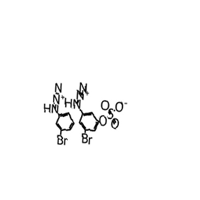 N#[N+]Nc1cccc(Br)c1.N#[N+]Nc1cccc(Br)c1.O=S(=O)([O-])[O-]